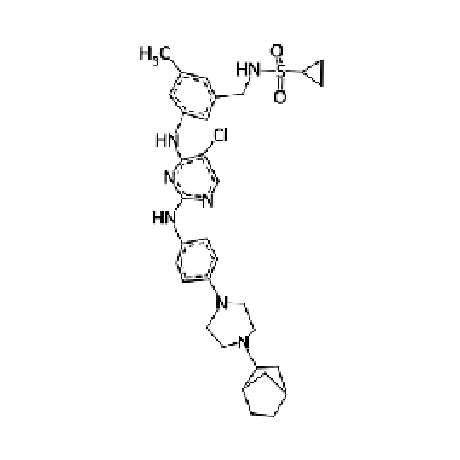 Cc1cc(CNS(=O)(=O)C2CC2)cc(Nc2nc(Nc3ccc(N4CCN(C5CC6CCC5C6)CC4)cc3)ncc2Cl)c1